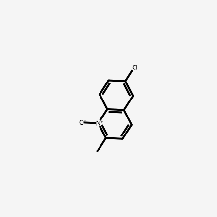 Cc1ccc2cc(Cl)ccc2[n+]1[O-]